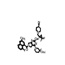 C[C@@]1(O)CCCN(c2nc(OC[C@]3(CN4CCC(C#N)CC4)CC3(F)F)nc3c2CN(C(=O)c2cc(O)cc4cccc(I)c24)C3)C1